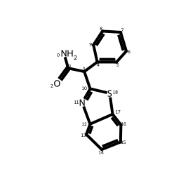 NC(=O)C(c1ccccc1)c1nc2ccccc2s1